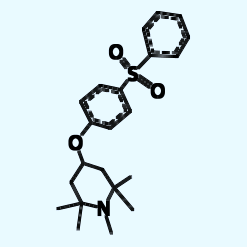 CN1C(C)(C)CC(Oc2ccc(S(=O)(=O)c3ccccc3)cc2)CC1(C)C